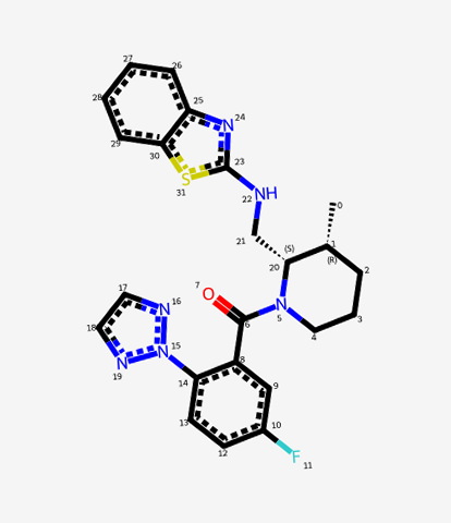 C[C@@H]1CCCN(C(=O)c2cc(F)ccc2-n2nccn2)[C@@H]1CNc1nc2ccccc2s1